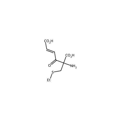 CCSCC(N)(C(=O)O)C(=O)C=CC(=O)O